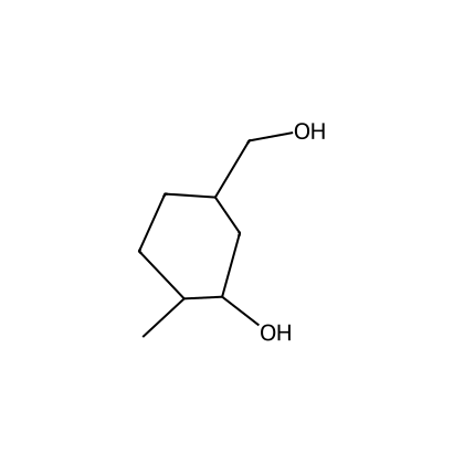 CC1CCC(CO)CC1O